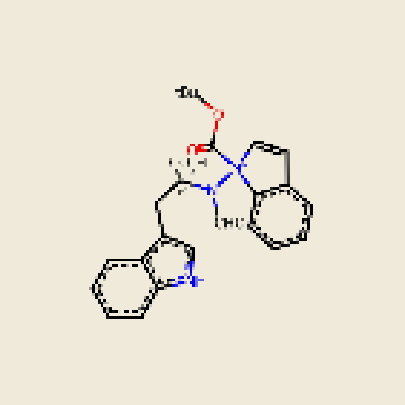 CC(C)(C)OC(=O)[N+]1(N(C=O)[C@H](Cc2c[nH]c3ccccc23)C(=O)O)C=Cc2ccccc21